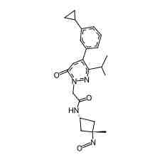 CC(C)c1nn(CC(=O)N[C@H]2C[C@@](C)(N=O)C2)c(=O)cc1-c1cccc(C2CC2)c1